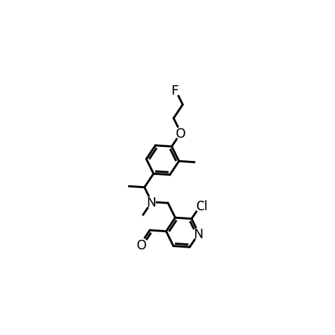 Cc1cc(C(C)N(C)Cc2c(C=O)ccnc2Cl)ccc1OCCF